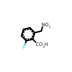 O=C(O)c1c(F)cccc1C[N+](=O)[O-]